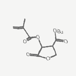 C=C(C)C(=O)OC1C(=O)OCC1C(=O)OCC(C)C